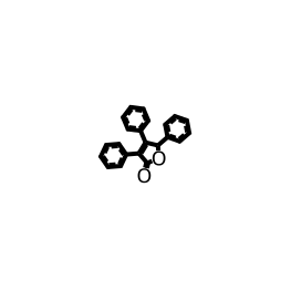 O=C1OC(c2ccccc2)C(c2ccccc2)=C1c1ccccc1